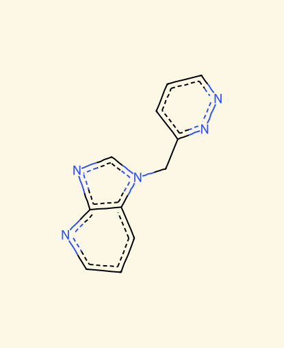 c1cnnc(Cn2cnc3ncccc32)c1